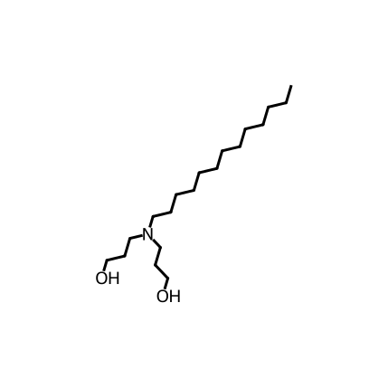 CCCCCCCCCCCCCN(CCCO)CCCO